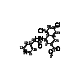 COC(=O)c1cc(NC(=O)Cc2ccncc2)c2c(Cl)cc(Cl)cc2c1